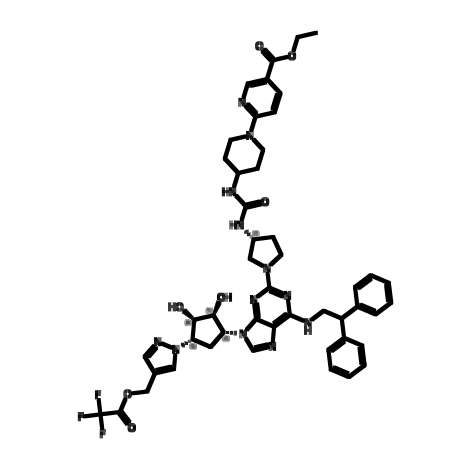 CCOC(=O)c1ccc(N2CCC(NC(=O)N[C@@H]3CCN(c4nc(NCC(c5ccccc5)c5ccccc5)c5ncn([C@@H]6C[C@H](n7cc(COC(=O)C(F)(F)F)cn7)[C@@H](O)[C@H]6O)c5n4)C3)CC2)nc1